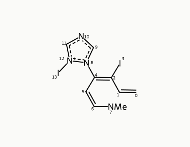 C=C/C(I)=C(\C=C/NC)n1cnc[n+]1I